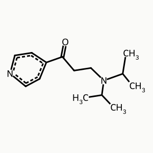 CC(C)N(CCC(=O)c1ccncc1)C(C)C